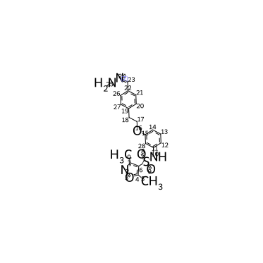 Cc1noc(C)c1S(=O)(=O)Nc1cccc(OCCc2ccc(/C=N\N)cc2)c1